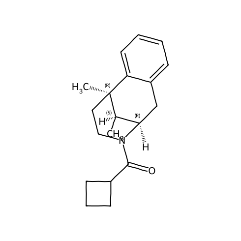 C[C@@H]1[C@H]2Cc3ccccc3[C@]1(C)CCN2C(=O)C1CCC1